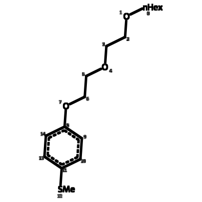 CCCCCCOCCOCCOc1ccc(SC)cc1